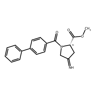 COC(=O)[C@@H]1CC(=N)CN1C(=O)c1ccc(-c2ccccc2)cc1